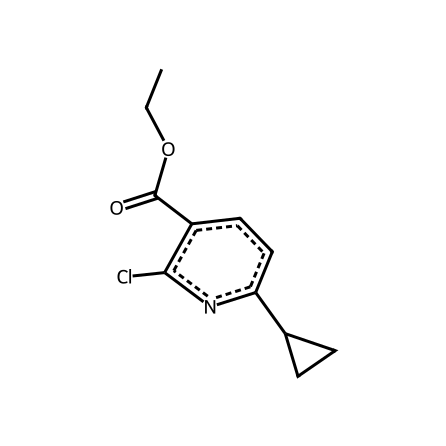 CCOC(=O)c1ccc(C2CC2)nc1Cl